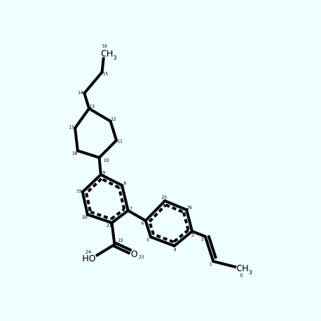 CC=Cc1ccc(-c2cc(C3CCC(CCC)CC3)ccc2C(=O)O)cc1